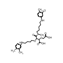 Cc1ccc(NCCCCOC(C(=O)N(C)CCCCCNc2ccc(C)c(Cl)c2)C(OCC(=O)O)C(=O)O)cc1C